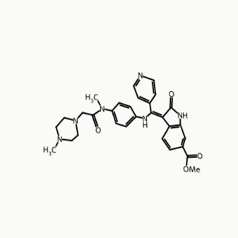 COC(=O)c1ccc2c(c1)NC(=O)C2=C(Nc1ccc(N(C)C(=O)CN2CCN(C)CC2)cc1)c1ccncc1